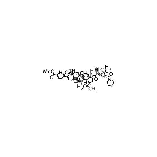 C=C(C)[C@@H]1CC[C@]2(NC(=O)N[C@@H]3C[C@H](C(=O)N4CCCCC4)C3(C)C)CC[C@]3(C)[C@H](CCC4[C@@]5(C)CC=C(c6ccc(C(=O)OC)cc6)C(C)(C)[C@@H]5CC[C@]43C)C12